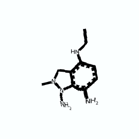 CCNc1ccc(N)c2c1CN(C)N2N